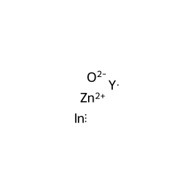 [In].[O-2].[Y].[Zn+2]